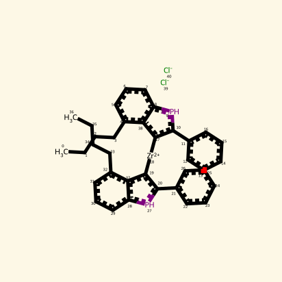 CCCCc1cccc2[pH]c(-c3ccccc3)[c]([Zr+2][c]3c(-c4ccccc4)[pH]c4cccc(CCCC)c34)c12.[Cl-].[Cl-]